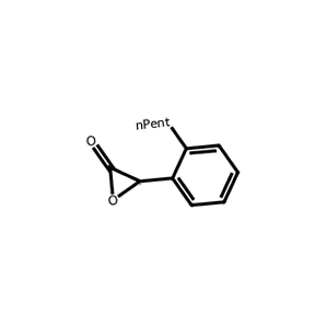 CCCCCc1ccccc1[C]1OC1=O